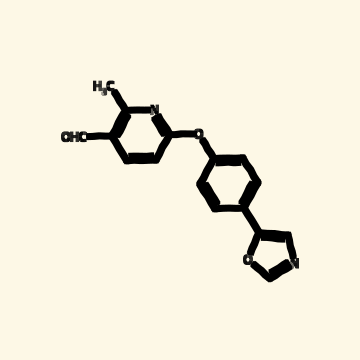 Cc1nc(Oc2ccc(-c3cnco3)cc2)ccc1C=O